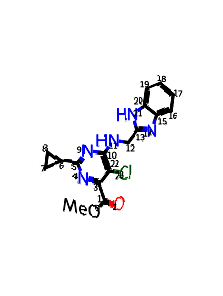 COC(=O)c1nc(C2CC2)nc(NCc2nc3ccccc3[nH]2)c1Cl